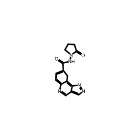 O=C(NN1CCCC1=O)C1=CC=c2ncc3c(c2C1)N=NC=3